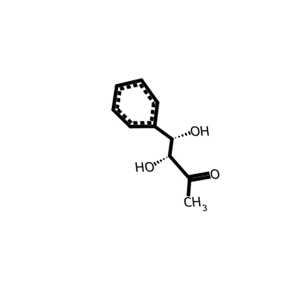 CC(=O)[C@H](O)[C@@H](O)c1ccccc1